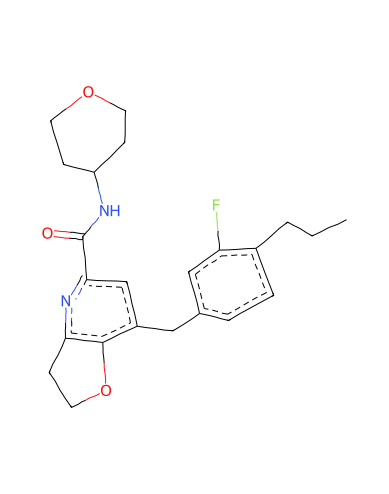 CCCc1ccc(Cc2cc(C(=O)NC3CCOCC3)nc3c2OCC3)cc1F